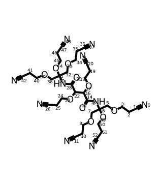 N#CCCOCC(COCCC#N)(NC(=O)C(OCCC#N)C(OCCC#N)C(=O)NC(COCCC#N)(COCCC#N)OCCC#N)OCCC#N